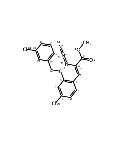 COC(=O)/C(=C/c1ccc(Cl)cc1OCc1cccc(Cl)c1)N=[N+]=[N-]